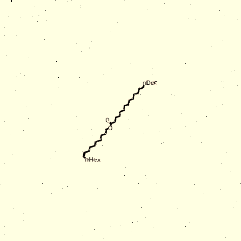 CCCCCC/C=C\CCCCCCCCOC(=O)CCCCCCCCCCCCCCCCCCCCCCC